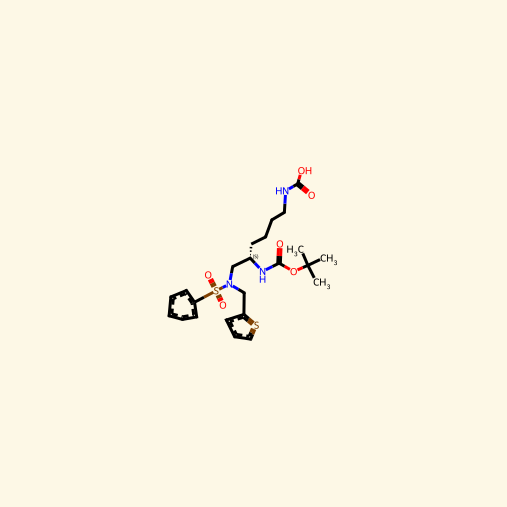 CC(C)(C)OC(=O)N[C@@H](CCCCNC(=O)O)CN(Cc1cccs1)S(=O)(=O)c1ccccc1